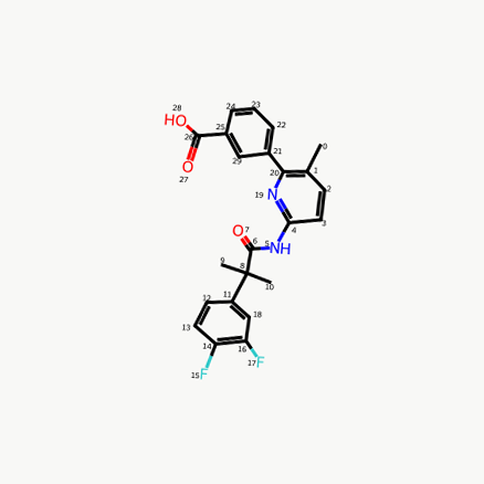 Cc1ccc(NC(=O)C(C)(C)c2ccc(F)c(F)c2)nc1-c1cccc(C(=O)O)c1